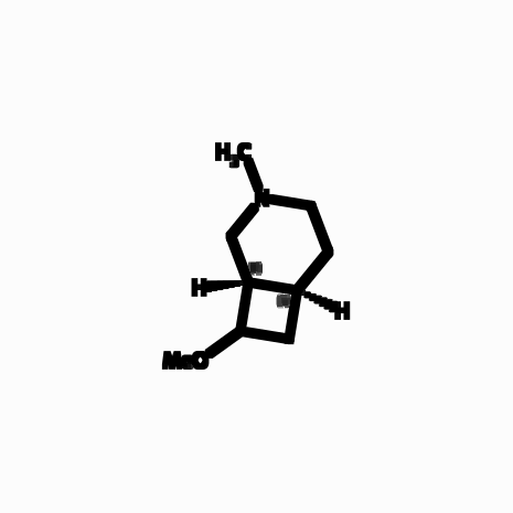 COC1C[C@@H]2CCN(C)C[C@H]12